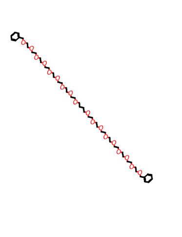 c1ccc(COCCOCCOCCOCCOCCOCCOCCOCCOCCCCOCCOCCOCCOCCOCCOCCOCCOCCOCc2ccccc2)cc1